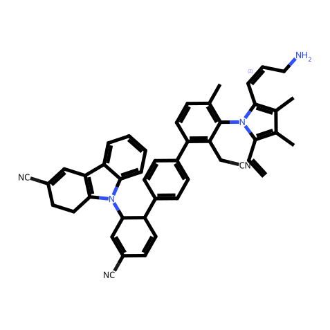 C=Cc1c(C)c(C)c(/C=C\CN)n1-c1c(C)ccc(-c2ccc(C3C=CC(C#N)=CC3n3c4c(c5ccccc53)C=C(C#N)CC4)cc2)c1CC#N